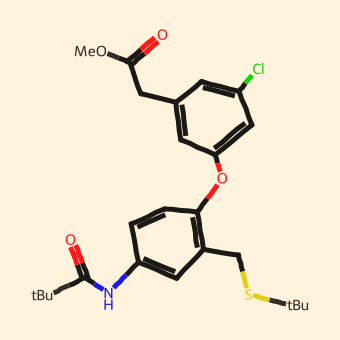 COC(=O)Cc1cc(Cl)cc(Oc2ccc(NC(=O)C(C)(C)C)cc2CSC(C)(C)C)c1